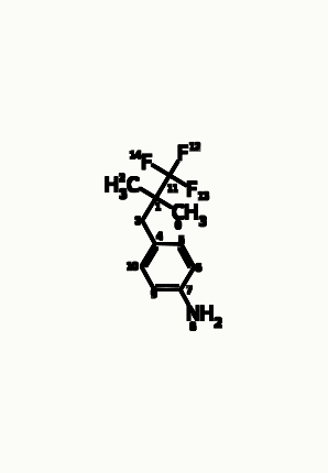 CC(C)(Cc1ccc(N)cc1)C(F)(F)F